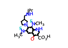 CC(C)NCC1CCN(c2c(N(C)F)cc3c(=O)c(C(=O)O)c[nH]c3c2N(C)F)C1